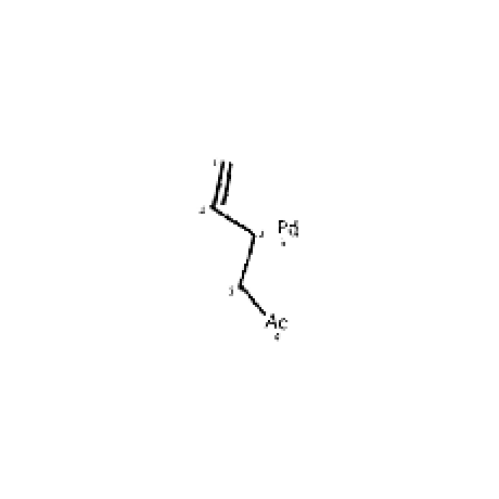 C=CCCC(C)=O.[Pd]